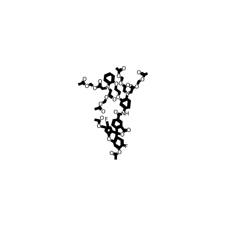 CC(=O)OCOC(=O)CN(CC(=O)OCOC(C)=O)c1ccccc1OCCOc1cc(NC(=O)c2ccc3c(c2)C(=O)OC32c3cc(F)c(OC(C)=O)cc3Oc3cc(OC(C)=O)c(F)cc32)ccc1N(CC(=O)OCOC(C)=O)CC(=O)OCOC(C)=O